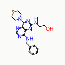 OCCNc1nc(N2CCSCC2)c2ncnc(NCc3ccccc3)c2n1